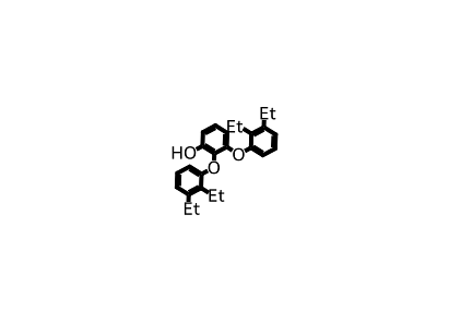 CCc1cccc(Oc2cccc(O)c2Oc2cccc(CC)c2CC)c1CC